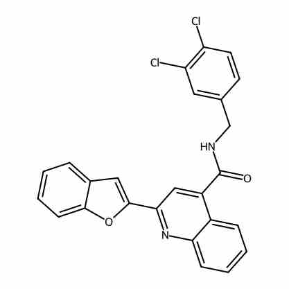 O=C(NCc1ccc(Cl)c(Cl)c1)c1cc(-c2cc3ccccc3o2)nc2ccccc12